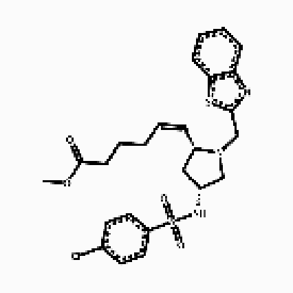 COC(=O)CCC/C=C\[C@@H]1C[C@@H](NS(=O)(=O)c2ccc(Cl)cc2)CN1Cc1nc2ccccc2s1